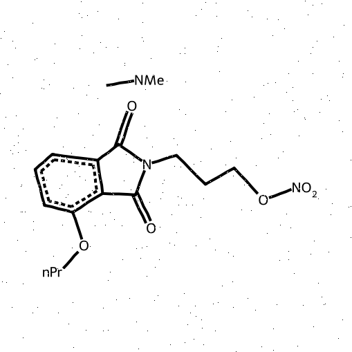 CCCOc1cccc2c1C(=O)N(CCCO[N+](=O)[O-])C2=O.CNC